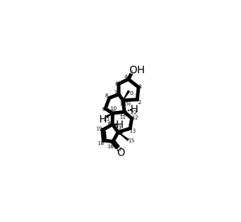 C[C@]12CCC(O)CC1CC[C@@H]1[C@@H]2CC[C@]2(C)C(=O)C=C[C@@H]12